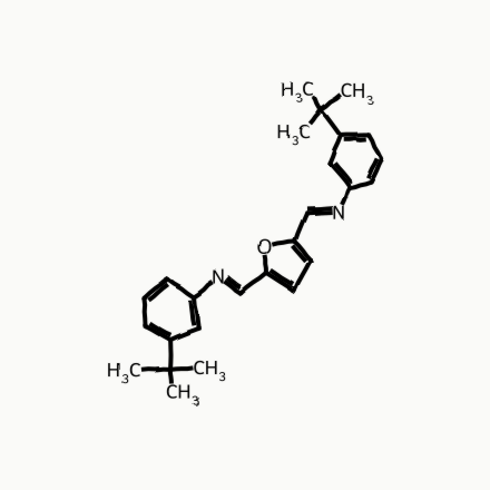 CC(C)(C)c1cccc(N=Cc2ccc(C=Nc3cccc(C(C)(C)C)c3)o2)c1